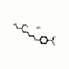 Cl.NC(CS)CCCCOc1ccc([N+](=O)[O-])cc1